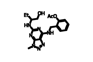 CCC(CO)Nc1nc(NCc2ccccc2OC(C)=O)c2nnn(C)c2n1